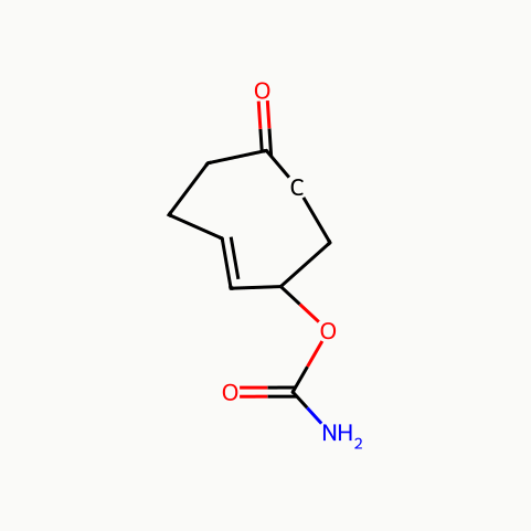 NC(=O)OC1/C=C/CCC(=O)CC1